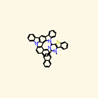 CN1c2c(sc3ccccc23)C(n2c3ccccc3c3cc4c5ccccc5n5c6ccc7ccccc7c6c(c32)c45)=NC1c1ccc2ccccc2c1